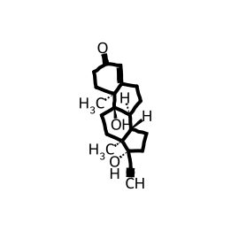 C#C[C@]1(O)CC[C@H]2[C@@H]3CCC4=CC(=O)CC[C@]4(C)[C@@]3(O)CC[C@@]21C